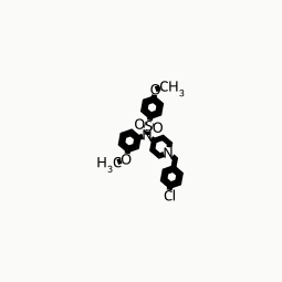 COc1ccc(S(=O)(=O)N(c2cccc(OC)c2)C2CCN(Cc3ccc(Cl)cc3)CC2)cc1